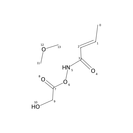 CC=CC(=O)NOC(=O)CO.COC